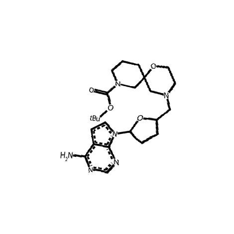 CC(C)(C)OC(=O)N1CCCC2(CN(CC3CCC(n4ccc5c(N)ncnc54)O3)CCO2)C1